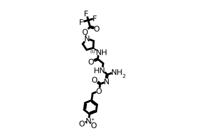 NC(=NC(=O)OCc1ccc([N+](=O)[O-])cc1)NCC(=O)N[C@H]1CCN(OC(=O)C(F)(F)F)C1